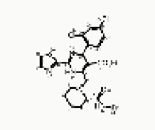 CCOC(=O)C1=C(CN2CCCC[C@H]2C(=O)NC(C)C)NC(c2nccs2)=N[C@H]1c1ccc(Cl)cc1Cl